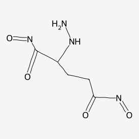 NNC(CCC(=O)N=O)C(=O)N=O